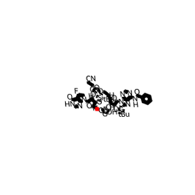 CC(C)(C)[Si](C)(C)OC1[C@H]2OP(=O)(OCCC#N)OCC[C@H]3O[C@@H](n4cnc5c(NC(=O)c6ccccc6)ncnc54)C(O[Si](C)(C)C(C)(C)C)[C@@H]3OP(=O)(O)OC[C@H]1O[C@H]2n1cc(F)c2c(=O)[nH]cnc21